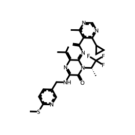 C=C(/N=C1\C(=C(C)C)N=C(NCc2ccc(SC)nc2)C(=O)N1[C@@H](C)C(F)(F)F)c1c(C)ncnc1C1CC1